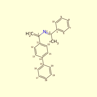 C=C(/N=C(\C)c1ccccc1)c1ccc(-c2ccccc2)cc1